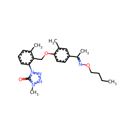 CCCCO/N=C(\C)c1ccc(OCc2c(C)cccc2-n2nnn(C)c2=O)c(C)c1